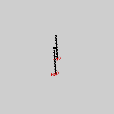 C=C.C=C.CCCCCCCCCCCCCCCCCC(=O)O.CCCCCCCCCCCCCCCCCC(=O)O